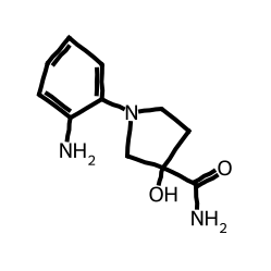 NC(=O)C1(O)CCN(c2ccccc2N)C1